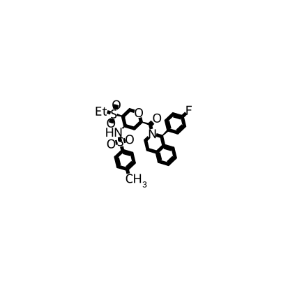 CCS(=O)(=O)[C@H]1CO[C@@H](C(=O)N2CCc3ccccc3[C@@H]2c2ccc(F)cc2)C[C@@H]1NS(=O)(=O)c1ccc(C)cc1